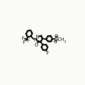 CS(=O)(=O)c1ccc(-c2cnn(Cc3ccccc3C(F)(F)F)c(=O)c2-c2ccc(F)cc2)cc1